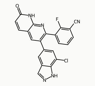 N#Cc1cccc(-c2nc3[nH]c(=O)ccc3cc2-c2cc(Cl)c3[nH]ncc3c2)c1F